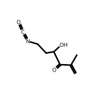 C=C(C)C(=O)C(O)CCN=C=O